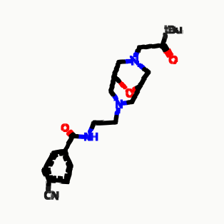 CC(C)(C)C(=O)CN1CC2CN(CCNC(=O)c3ccc(C#N)cc3)CC(C1)O2